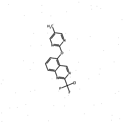 Cc1cnc(Oc2cccc3nc(C(F)(F)Cl)ncc23)nc1